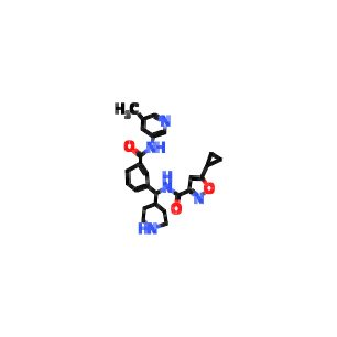 Cc1cncc(NC(=O)c2cccc(C(NC(=O)c3cc(C4CC4)on3)C3CCNCC3)c2)c1